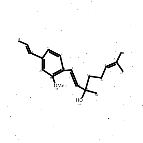 CC=Cc1ccc(C=CC(C)(O)CCC=C(C)C)c(OC)c1